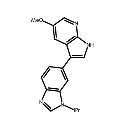 COc1cnc2[nH]cc(-c3ccc4ncn(C(C)C)c4c3)c2c1